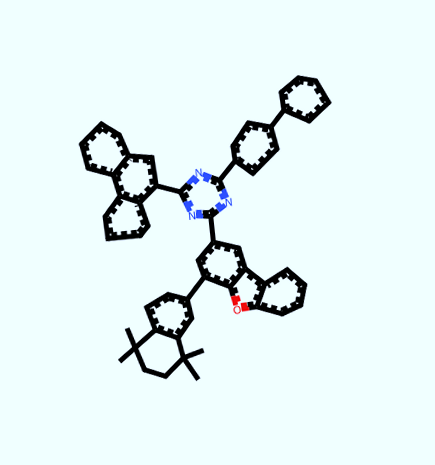 CC1(C)CCC(C)(C)c2cc(-c3cc(-c4nc(-c5ccc(-c6ccccc6)cc5)nc(-c5cc6ccccc6c6ccccc56)n4)cc4c3oc3ccccc34)ccc21